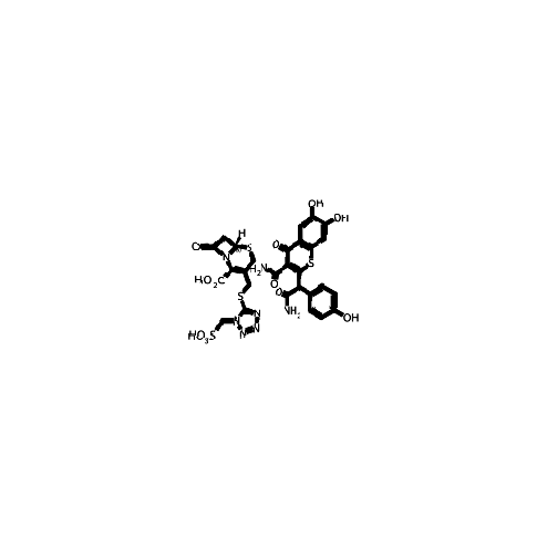 NC(=O)c1c(C(C(N)=O)c2ccc(O)cc2)sc2cc(O)c(O)cc2c1=O.O=C(O)C1=C(CSc2nnnn2CS(=O)(=O)O)CS[C@H]2CC(=O)N12